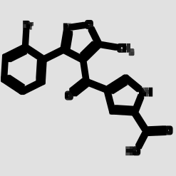 Cc1onc(-c2ccccc2Br)c1C(=O)c1c[nH]c(C(=O)O)c1